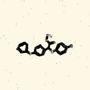 COC(=O)C(Oc1ccc(Cl)cc1)c1ccc(Oc2ccccc2)cc1